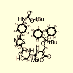 COC(=O)C(CO[Si](c1ccccc1)(c1ccccc1)C(C)(C)C)NC(=O)C(CO)NC(=O)c1cnc(-c2ccc(NC(=O)OC(C)(C)C)cc2)s1